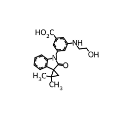 CC1(C)CC12C(=O)N(c1cc(NCCO)cc(C(=O)O)c1)c1ccccc12